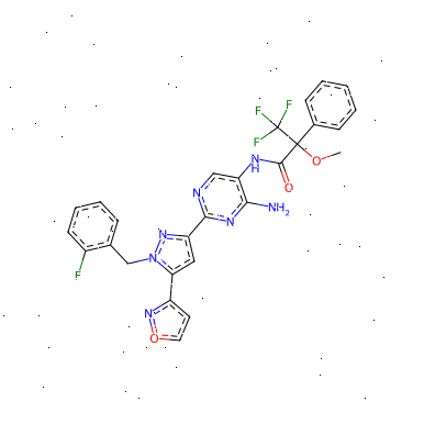 COC(C(=O)Nc1cnc(-c2cc(-c3ccon3)n(Cc3ccccc3F)n2)nc1N)(c1ccccc1)C(F)(F)F